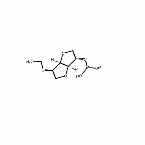 CCS[C@@H]1CO[C@H]2[C@@H]1OC[C@H]2ON(O)O